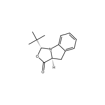 CC(C)(C)[C@H]1OC(=O)[C@@H]2Cc3ccccc3N21